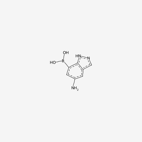 Nc1cc(B(O)O)c2[nH]ncc2c1